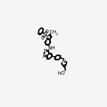 Cc1cc2cc(Nc3ncnc4ccc(-c5ccc(CN6CC7C(CO)C7C6)cc5)cc34)ccc2n1S(=O)(=O)c1ccccc1